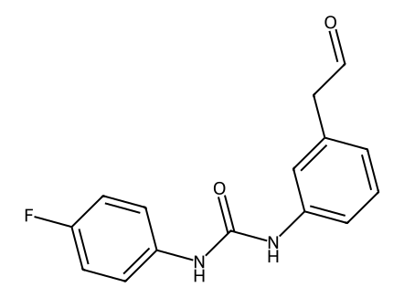 O=CCc1cccc(NC(=O)Nc2ccc(F)cc2)c1